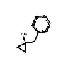 [NH]C1(Cc2ccccc2)CC1